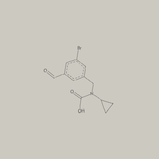 O=Cc1cc(Br)cc(CN(C(=O)O)C2CC2)c1